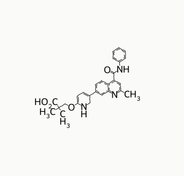 Cc1cc(C(=O)Nc2ccccc2)c2ccc(C3=CC=C(OCC(C)(C)C(=O)O)NC3)cc2n1